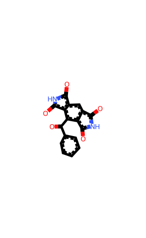 O=C(c1ccccc1)c1c2c(=O)[nH]c(=O)c2cc2c(=O)[nH]c(=O)c12